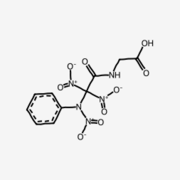 O=C(O)CNC(=O)C(N(c1ccccc1)[N+](=O)[O-])([N+](=O)[O-])[N+](=O)[O-]